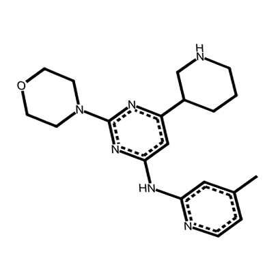 Cc1ccnc(Nc2cc(C3CCCNC3)nc(N3CCOCC3)n2)c1